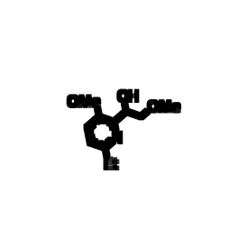 CCc1ccc(OC)c(C(O)COC)n1